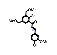 COCc1cc(COC)c(Br)c(C(=O)/C=C/c2ccc(O)c(OC)c2)c1